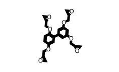 c1cc(OCC2CO2)c(-c2cc(OCC3CO3)cc(OCC3CO3)c2)cc1OCC1CO1